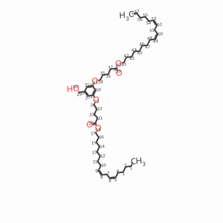 CCCCC/C=C\C/C=C\CCCCCCCCOC(=O)CCCCOc1cc(CO)cc(OCCCCC(=O)OCCCCCCCC/C=C\C/C=C\CCCCC)c1